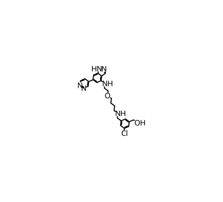 OCc1cc(Cl)cc(CNCCCCOCCNc2cc(-c3ccnnc3)cc3[nH]ncc23)c1